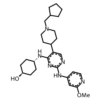 COc1cc(Nc2ncc(C3CCN(CC4CCCC4)CC3)c(N[C@H]3CC[C@H](O)CC3)n2)ccn1